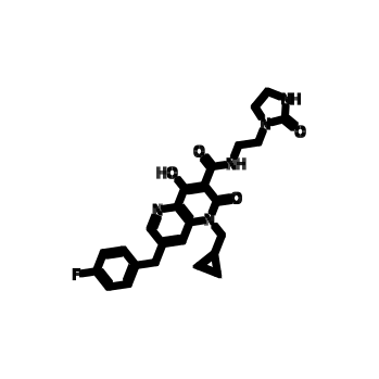 O=C(NCCN1CCNC1=O)c1c(O)c2ncc(Cc3ccc(F)cc3)cc2n(CC2CC2)c1=O